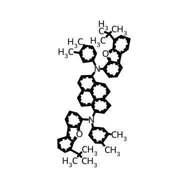 Cc1ccc(N(c2ccc3ccc4c(N(c5ccc(C)c(C)c5)c5cccc6c5oc5c(C(C)(C)C)cccc56)ccc5ccc2c3c54)c2cccc3c2oc2c(C(C)(C)C)cccc23)cc1C